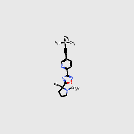 CC(C)(C)C1(c2nc(-c3ccc(C#C[Si](C)(C)C)cn3)no2)CCCN1C(=O)O